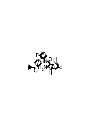 NC1NN2CC(F)CNC2C1C(=O)Nc1cncc(F)c1N1CCN(C(=O)C2CC2)CC1